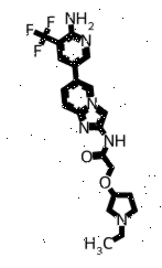 CCN1CCC(OCC(=O)Nc2cn3cc(-c4cnc(N)c(C(F)(F)F)c4)ccc3n2)C1